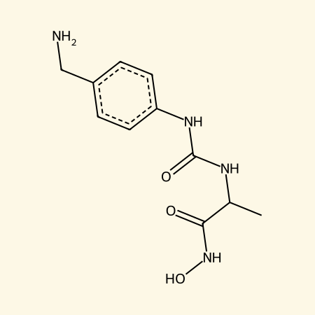 CC(NC(=O)Nc1ccc(CN)cc1)C(=O)NO